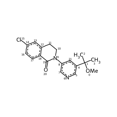 COC(C)(C)c1cncc(N2CCc3cc(Cl)ccc3C2=O)c1